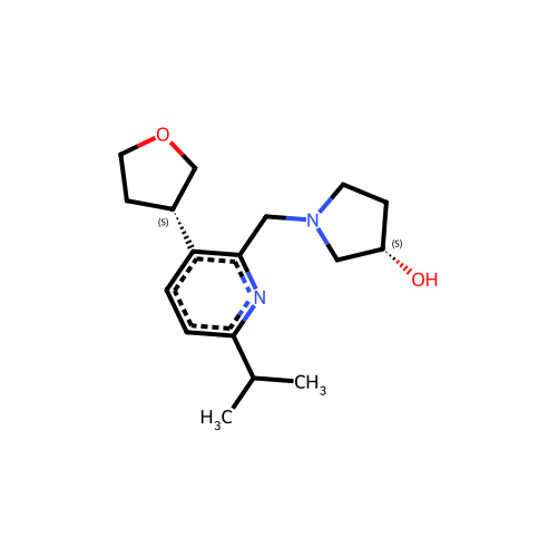 CC(C)c1ccc([C@@H]2CCOC2)c(CN2CC[C@H](O)C2)n1